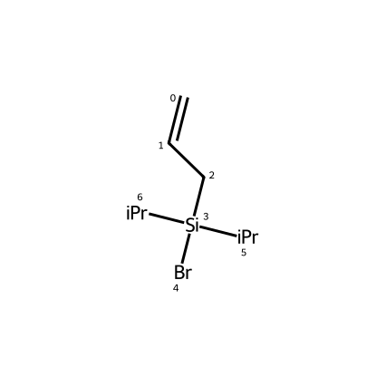 C=CC[Si](Br)(C(C)C)C(C)C